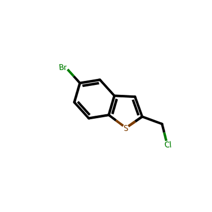 ClCc1cc2cc(Br)ccc2s1